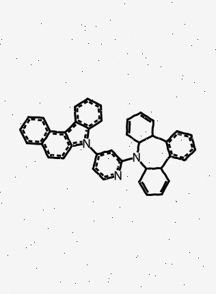 C1=CC2c3ccccc3C3C=CC=CC3N(c3cc(-n4c5ccccc5c5c6ccccc6ccc54)ccn3)C2C=C1